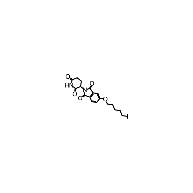 O=C1CCC(N2C(=O)c3ccc(OCCCCCI)cc3C2=O)C(=O)N1